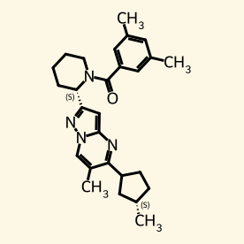 Cc1cc(C)cc(C(=O)N2CCCC[C@H]2c2cc3nc(C4CC[C@H](C)C4)c(C)cn3n2)c1